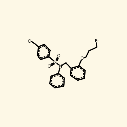 O=S(=O)(c1ccc(Cl)cc1)N(Cc1ccccc1OCCCBr)c1ccccc1